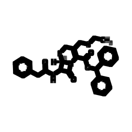 CCSCC1=C(C(=O)OC(c2ccccc2)c2ccccc2)N2C(=O)C(NC(=O)Cc3ccccc3)[C@H]2SC1